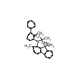 Cc1ccc2c(c1N(c1cccc(-c3ccccc3)c1C)C(C)(C)C)C(C)(C)c1ccccc1-2